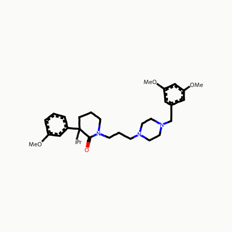 COc1cc(CN2CCN(CCCN3CCCC(c4cccc(OC)c4)(C(C)C)C3=O)CC2)cc(OC)c1